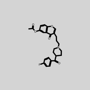 CC(=O)Oc1ccc2occ(CCCN3CCC(C(=O)c4ccc(F)cc4)CC3)c(=O)c2c1